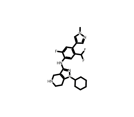 Cn1cc(-c2cc(F)c(Nc3nn(C4CCCCC4)c4c3CNCC4)cc2C(F)F)cn1